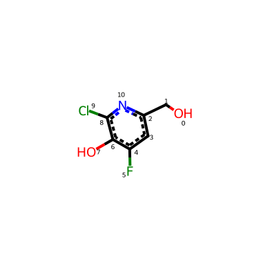 OCc1cc(F)c(O)c(Cl)n1